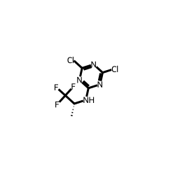 C[C@@H](Nc1nc(Cl)nc(Cl)n1)C(F)(F)F